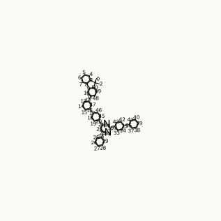 CC1(C)c2ccccc2-c2cc(-c3cccc(-c4ccc(-c5cc(-c6ccccc6)nc(-c6ccc(-c7ccccc7)cc6)n5)cc4)c3)ccc21